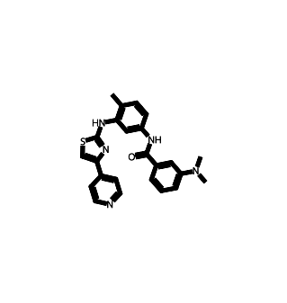 Cc1ccc(NC(=O)c2cccc(N(C)C)c2)cc1Nc1nc(-c2ccncc2)cs1